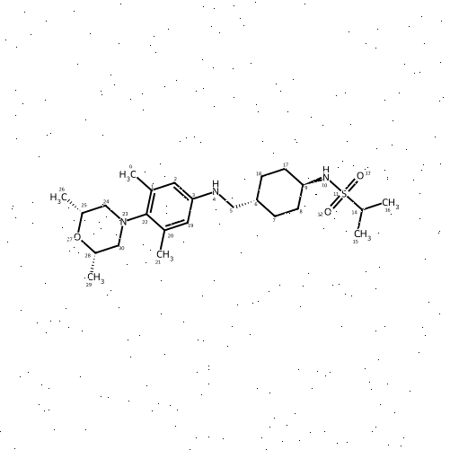 Cc1cc(NC[C@H]2CC[C@H](NS(=O)(=O)C(C)C)CC2)cc(C)c1N1C[C@@H](C)O[C@@H](C)C1